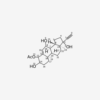 C#CC1(O)CC[C@H]2[C@@H]3C(O)C=C4C(OC(C)=O)C(O)CC[C@]4(C)[C@@H]3CC[C@@]21C